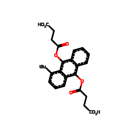 CC(C)(C)c1cccc2c(OC(=O)CCC(=O)O)c3ccccc3c(OC(=O)CCC(=O)O)c12